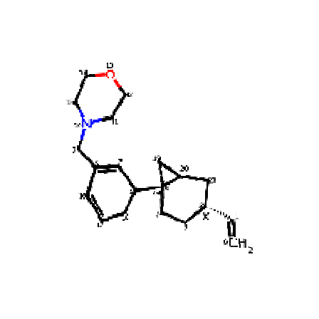 C=C[C@@H]1CC[C@]2(C3C=C(CN4CCOCC4)C=CC3)CC2C1